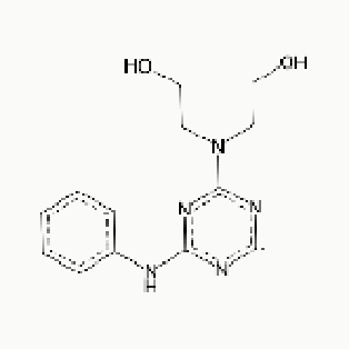 OCCN(CCO)c1n[c]nc(Nc2ccccc2)n1